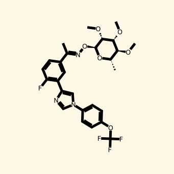 CO[C@@H]1[C@@H](OC)[C@H](C)O[C@@H](O/N=C(\C)c2ccc(F)c(-c3cn(-c4ccc(OC(F)(F)F)cc4)cn3)c2)[C@@H]1OC